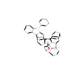 C1=C[C@H]2c3cccc4c3C3(C5=C4CCC=C5)C4C(N(c5ccccc5)c5ccc6c7ccccc7n(C7=CCCC=C7)c6c5)=CCCC4C(=C1)C23